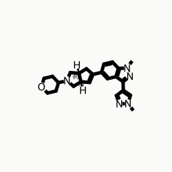 Cn1cc(-c2nn(C)c3ccc(C4=C[C@@H]5CN(C6CCOCC6)C[C@@H]5C4)cc23)cn1